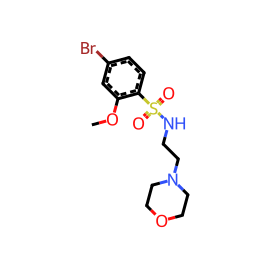 COc1cc(Br)ccc1S(=O)(=O)NCCN1CCOCC1